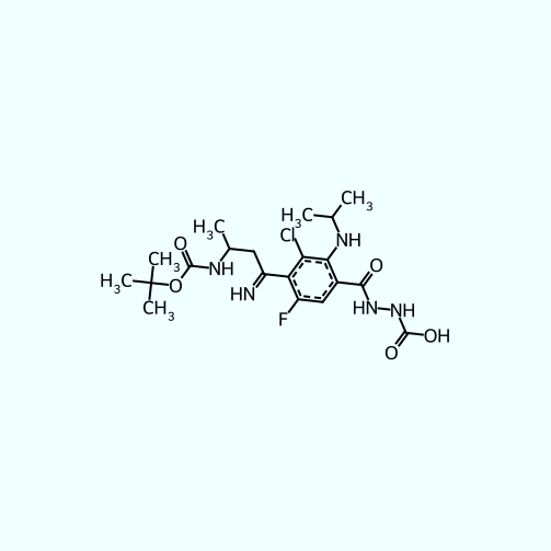 CC(C)Nc1c(C(=O)NNC(=O)O)cc(F)c(C(=N)CC(C)NC(=O)OC(C)(C)C)c1Cl